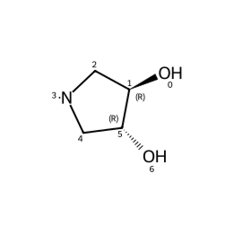 O[C@@H]1C[N]C[C@H]1O